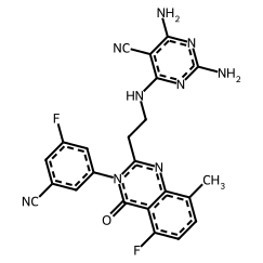 Cc1ccc(F)c2c(=O)n(-c3cc(F)cc(C#N)c3)c(CCNc3nc(N)nc(N)c3C#N)nc12